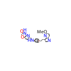 COc1ccc2nccc(CCC34CCC(NCc5ccc6c(n5)NC(=O)CO6)(CC3)CC4)c2n1